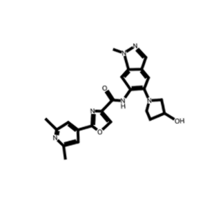 Cc1cc(-c2nc(C(=O)Nc3cc4c(cnn4C)cc3N3CCC(O)C3)co2)cc(C)n1